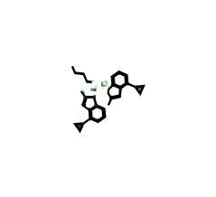 CCCC[SiH]=[Hf]([Cl])([Cl])([CH]1C(C)=Cc2c(C3CC3)cccc21)[CH]1C(C)=Cc2c(C3CC3)cccc21